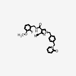 COc1cccc(CNC(=O)c2cn(Cc3ccc(Cn4ccccc4=O)cc3)nc2C#N)c1F